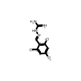 N=C(N)N/N=C/c1c(Cl)cc(Cl)cc1Cl